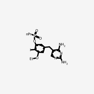 CCCS(=O)(=O)Oc1cc(Cc2cnc(N)nc2N)cc(OCC)c1I